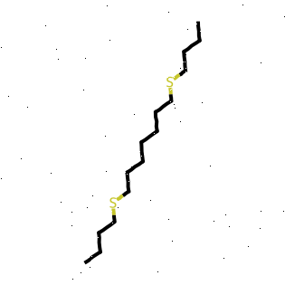 CCCCSCCCCCCCSCCCC